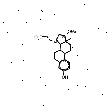 CO[C@H]1C[C@@H](CCC(=O)O)C2C3CCc4cc(O)ccc4C3CCC21C